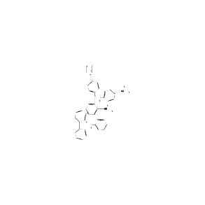 N#Cc1ccc2c(c1)c1cc(C#N)ccc1n2-c1cccc(-c2ccccc2-n2c3ccccc3c3ccccc32)c1C#N